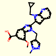 COc1cc(C(=O)O)cc2nc(-c3cc4cccnc4n3CC3CC3)n(Cc3cnn(C)c3)c12